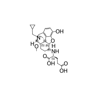 CO[C@@]12CC[C@@H](N[C@@H](CCC(=O)O)C(=O)O)[C@@H]3Oc4c(O)ccc5c4[C@@]31CCN(CC1CC1)[C@@H]2C5